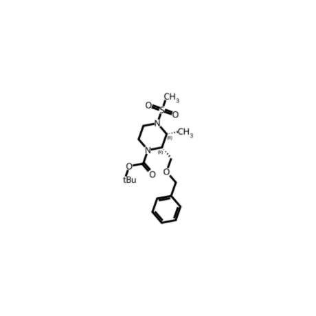 C[C@@H]1[C@H](COCc2ccccc2)N(C(=O)OC(C)(C)C)CCN1S(C)(=O)=O